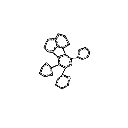 c1ccc(-c2nc(-c3ccccn3)c(-c3ccccc3)c3c2-c2cccc4cccc-3c24)cc1